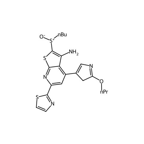 CCCC[S+]([O-])c1sc2nc(-c3nccs3)cc(C3=CN=C(OCCC)C3)c2c1N